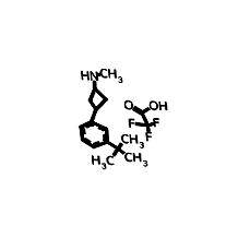 CNC1CC(c2cccc(C(C)(C)C)c2)C1.O=C(O)C(F)(F)F